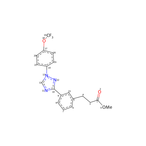 COC(=O)CCc1cccc(-c2ncn(-c3ccc(OC(F)(F)F)cc3)n2)c1